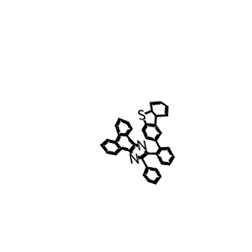 C1=CC2Sc3ccc(-c4ccccc4-c4nc5c6ccccc6c6ccccc6c5nc4-c4ccccc4)cc3C2C=C1